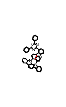 C1=CC2c3ccc4c5ccccc5n(-c5ccccc5)c4c3N(C3=CC=C4c5c(cccc5-c5nc(-c6ccccc6)nc(-c6ccccc6)n5)OC4C3)C2C=C1